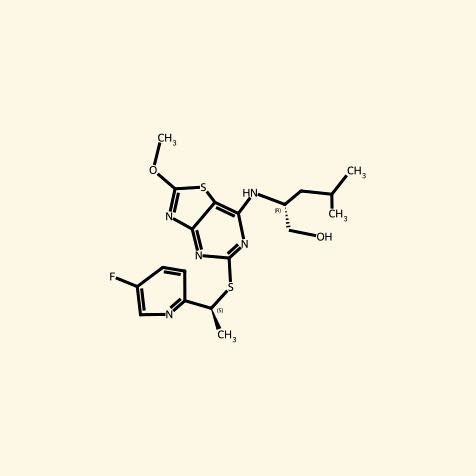 COc1nc2nc(S[C@@H](C)c3ccc(F)cn3)nc(N[C@@H](CO)CC(C)C)c2s1